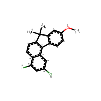 COc1[c]cc2c(c1)C(C)(C)c1c[c]c3c(Cl)cc(Cl)cc3c1-2